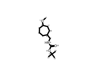 COC1CCCC(CNC(=O)OC(C)(C)C)CC1